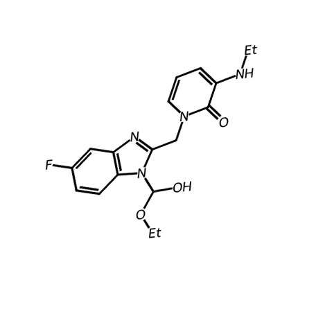 CCNc1cccn(Cc2nc3cc(F)ccc3n2C(O)OCC)c1=O